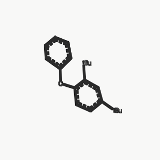 CC(C)(C)c1ccc(Oc2cc[c]cc2)c(C(C)(C)C)c1